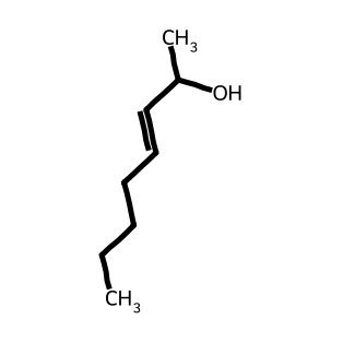 CCCCC=CC(C)O